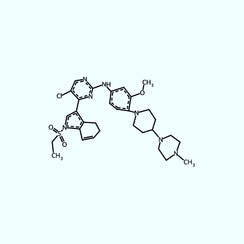 CCS(=O)(=O)n1cc(-c2nc(Nc3ccc(N4CCC(N5CCN(C)CC5)CC4)c(OC)c3)ncc2Cl)c2c1C=CCC2